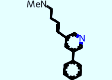 CNCC/C=C/c1cncc(-c2ccccc2)c1